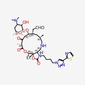 CC[C@H]1OC(=O)[C@H](C)C(=O)[C@H](C)[C@@H](O[C@@H]2O[C@H](C)CC(N(C)C)C2O)[C@@H](CC=O)C[C@@H](C)CN[C@H](C)[C@H]2N(CCCCn3cc(-c4nccs4)nn3)C(=O)O[C@]12C